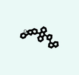 c1cc(-c2cccc3ccccc23)cc(-c2c3ccccc3c(-c3ccc4cc5oc6ccccc6c5cc4c3)c3ccccc23)c1